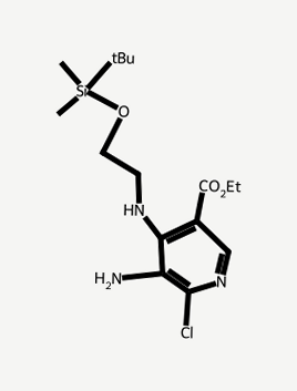 CCOC(=O)c1cnc(Cl)c(N)c1NCCO[Si](C)(C)C(C)(C)C